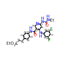 CCNC(=O)Nc1cc(Nc2cc(F)cc(F)c2)c(C(=O)Nc2ccc(CCC(=O)OCC)cc2)cn1